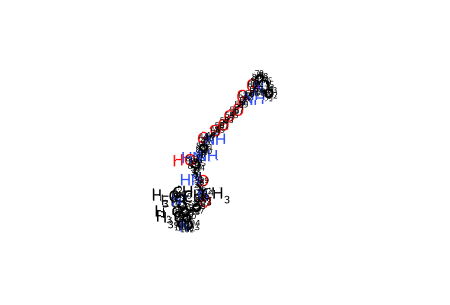 CC[N+]1=c2cc3c(cc2C(C)CC1(C)C)=C(c1cccc(CC(=O)N(C)CCCC(=O)NCCc2ccc(NNc4ccc(C(=O)NCCOCCOCCOCCOCCC(=O)NCCC(=O)N5Cc6ccccc6/C=C\c6ccccc65)cc4)c(O)c2)c1)c1cc2c4c(c1C3(C)C)CCCN4CCC2